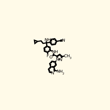 Cc1cc(C(=O)Nc2cc(C(N)(CCC3CC3)c3ccc(C#N)cc3)ccc2F)n(-c2ccc3ccnc(N)c3c2)n1